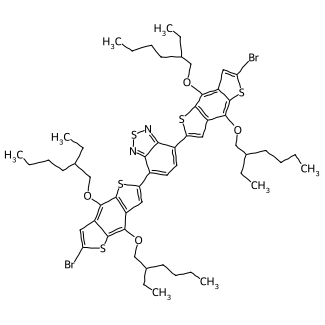 CCCCC(CC)COc1c2cc(-c3ccc(-c4cc5c(OCC(CC)CCCC)c6sc(Br)cc6c(OCC(CC)CCCC)c5s4)c4nsnc34)sc2c(OCC(CC)CCCC)c2cc(Br)sc12